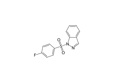 O=S(=O)(c1ccc(F)cc1)n1ncc2ccccc21